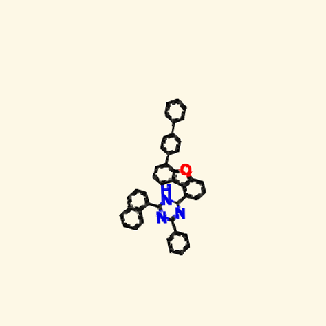 c1ccc(C2=NC(c3cccc4oc5c(-c6ccc(-c7ccccc7)cc6)cccc5c34)NC(c3cccc4ccccc34)=N2)cc1